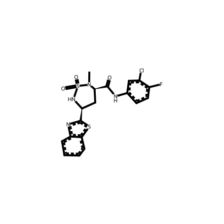 CN1[C@@H](C(=O)Nc2ccc(F)c(Cl)c2)C[C@@H](c2nc3ccccc3s2)NS1(=O)=O